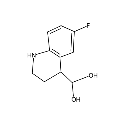 OC(O)C1CCNc2ccc(F)cc21